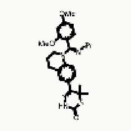 COc1ccc(C(=NC(C)C)N2CCCc3cc(C4=NNC(=O)SC4(C)C)ccc32)c(OC)c1